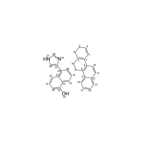 C1=CC2=C(CC1)CCc1c2ccc2ccccc12.Oc1cccc2c(-c3c[nH]cn3)cccc12